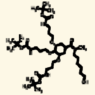 CN(CCCCCCO)C(=O)C1C[C@@H](OCCCNC(=O)OC(C)(C)C)C(OCCCNC(=O)OC(C)(C)C)[C@H](OCCCNC(=O)OC(C)(C)C)C1